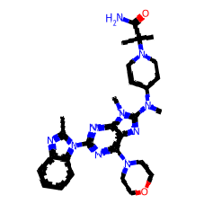 Cc1nc2ccccc2n1-c1nc(N2CCOCC2)c2nc(N(C)C3CCN(C(C)(C)C(N)=O)CC3)n(C)c2n1